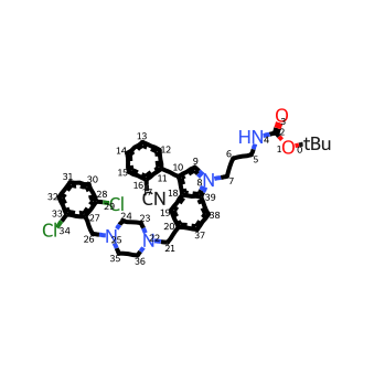 CC(C)(C)OC(=O)NCCCn1cc(-c2ccccc2C#N)c2cc(CN3CCN(Cc4c(Cl)cccc4Cl)CC3)ccc21